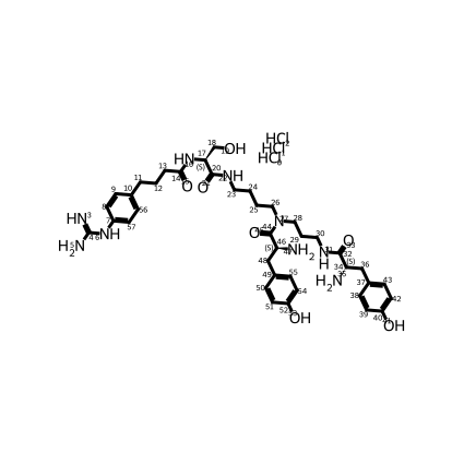 Cl.Cl.Cl.N=C(N)Nc1ccc(CCCC(=O)N[C@@H](CO)C(=O)NCCCCN(CCCNC(=O)[C@@H](N)Cc2ccc(O)cc2)C(=O)[C@@H](N)Cc2ccc(O)cc2)cc1